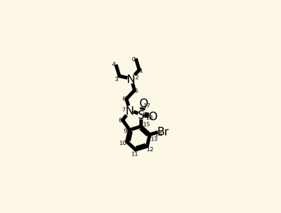 CCN(CC)CCN1Cc2cccc(Br)c2S1(=O)=O